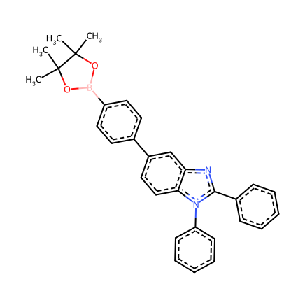 CC1(C)OB(c2ccc(-c3ccc4c(c3)nc(-c3ccccc3)n4-c3ccccc3)cc2)OC1(C)C